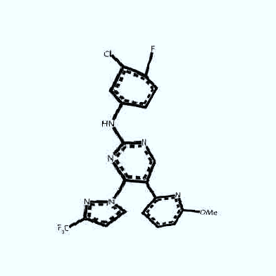 COc1cccc(-c2cnc(Nc3ccc(F)c(Cl)c3)nc2-n2ccc(C(F)(F)F)n2)n1